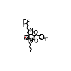 CCCCCNC(=O)c1cc(CCC(F)(F)F)nc2oc(-c3ccc(F)cc3)c(C(=O)N(C)c3ccsc3)c12